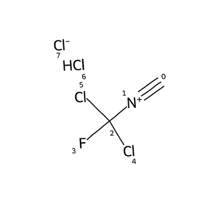 C#[N+]C(F)(Cl)Cl.Cl.[Cl-]